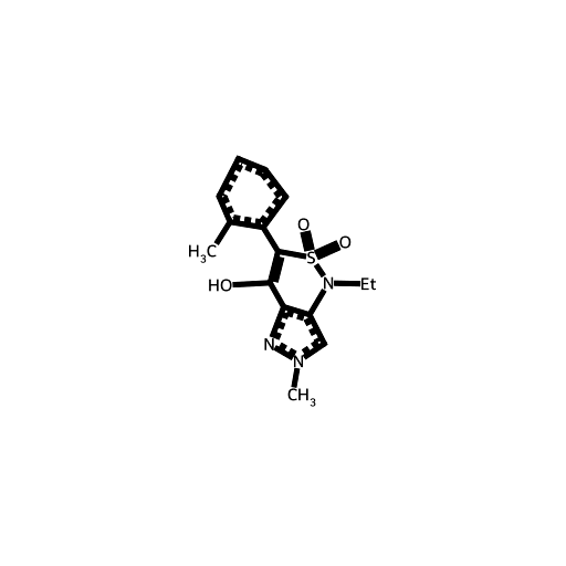 CCN1c2cn(C)nc2C(O)=C(c2ccccc2C)S1(=O)=O